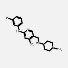 CN1CCC(NCc2cnc(Nc3cccc(Cl)c3)nc2C(F)(F)F)CC1